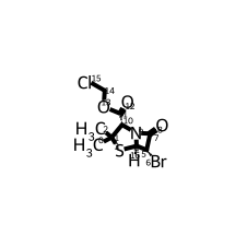 CC1(C)S[C@@H]2[C@@H](Br)C(=O)N2[C@H]1C(=O)OCCl